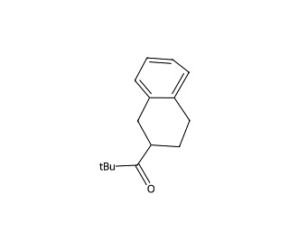 CC(C)(C)C(=O)C1CCc2ccccc2C1